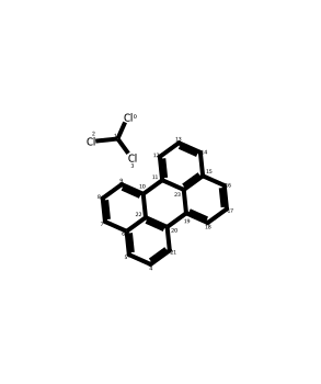 ClC(Cl)Cl.c1cc2cccc3c4cccc5cccc(c(c1)c23)c54